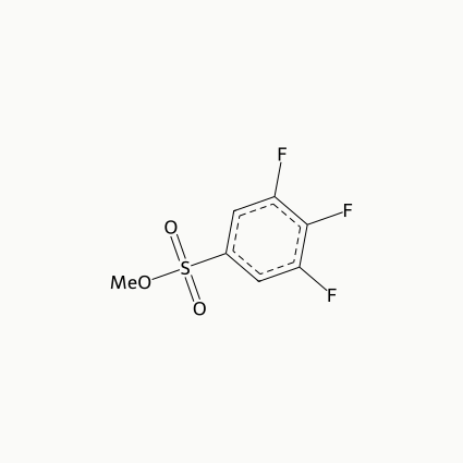 [CH2]OS(=O)(=O)c1cc(F)c(F)c(F)c1